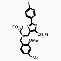 CCOC(=O)CN(Cc1ccc(OC)cc1OC)Cc1nc(-c2ccc(F)cc2)sc1C(=O)OCC